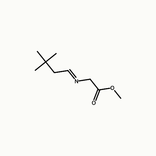 COC(=O)C/N=C/CC(C)(C)C